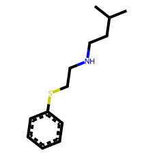 CC(C)CCNCCSc1ccccc1